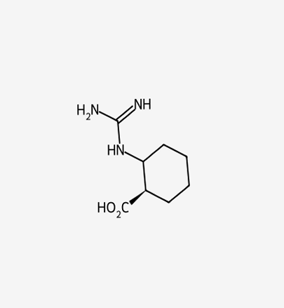 N=C(N)NC1CCCC[C@H]1C(=O)O